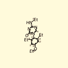 CCNc1ncn(-c2c(CC)cc(OCC)cc2CC)c(=O)n1